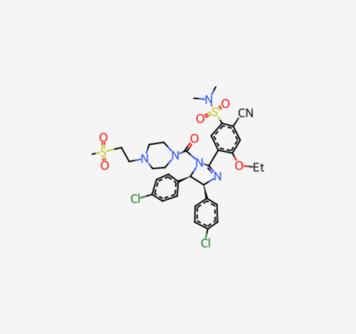 CCOc1cc(C#N)c(S(=O)(=O)N(C)C)cc1C1=N[C@@H](c2ccc(Cl)cc2)[C@@H](c2ccc(Cl)cc2)N1C(=O)N1CCN(CCS(C)(=O)=O)CC1